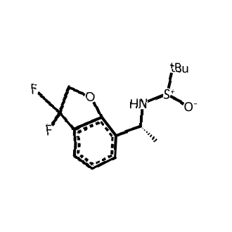 C[C@@H](N[S+]([O-])C(C)(C)C)c1cccc2c1OCC2(F)F